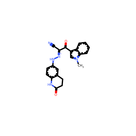 Cn1cc(C(=O)/C(C#N)=N/Nc2ccc3c(c2)CCC(=O)N3)c2ccccc21